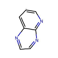 [c]1cnc2nccnc2c1